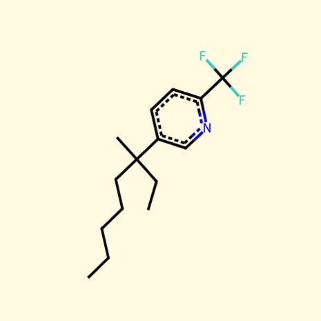 CCCCCC(C)(CC)c1ccc(C(F)(F)F)nc1